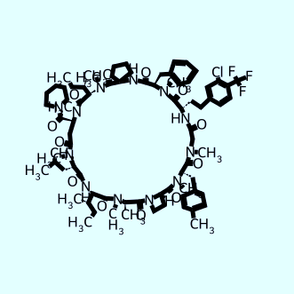 CC[C@H](C)[C@@H]1NC(=O)[C@H](CC(C)C)N(C)C(=O)C[C@@H](C(=O)N2CCCCC2)N(C)C(=O)[C@H]([C@@H](C)CC)N(C)C(=O)C2(CCCC2)NC(=O)[C@@H](Cc2ccccc2)N(C)C(=O)[C@H](CCc2ccc(C(F)(F)F)c(Cl)c2)NC(=O)CN(C)C(=O)[C@H](Cc2ccc(C)cc2)N(C)C(=O)[C@@H]2CCN2C(=O)[C@H](C)N(C)C1=O